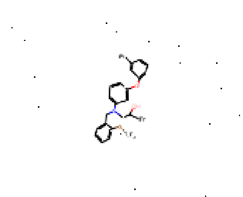 CC(C)c1cccc(Oc2cccc(N(Cc3ccccc3SC(F)(F)F)CC(O)C(C)C)c2)c1